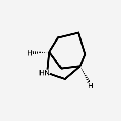 C1C[C@H]2CN[C@@H](C1)C2